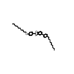 CCCCCCCCCCOc1ccc(-c2nc3cc(-c4ccc(CCCCCCCCCC)cc4)ccc3o2)cc1